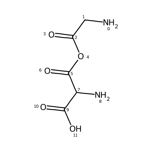 NCC(=O)OC(=O)C(N)C(=O)O